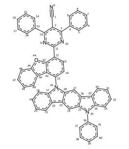 N#Cc1c(-c2ccccc2)nc(-c2ccc(-n3c4ccccc4c4cc5c(cc43)c3ccccc3n5-c3ccccc3)c3c2oc2ccccc23)nc1-c1ccccc1